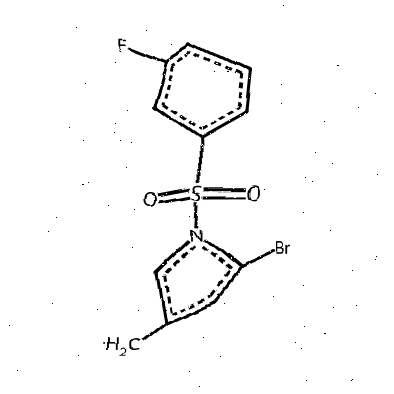 [CH2]c1cc(Br)n(S(=O)(=O)c2cccc(F)c2)c1